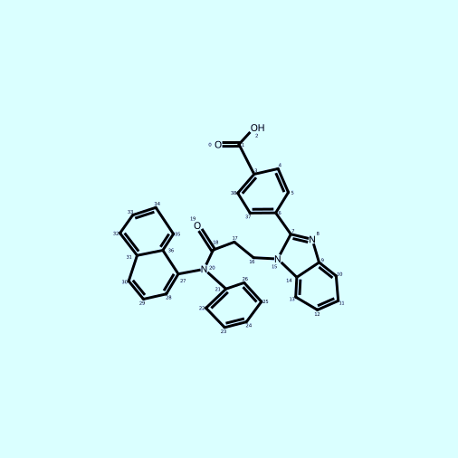 O=C(O)c1ccc(-c2nc3ccccc3n2CCC(=O)N(c2ccccc2)c2cccc3ccccc23)cc1